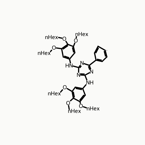 CCCCCCOc1cc(Nc2nc(Nc3cc(OCCCCCC)c(OCCCCCC)c(OCCCCCC)c3)nc(-c3cc[c]cc3)n2)cc(OCCCCCC)c1OCCCCCC